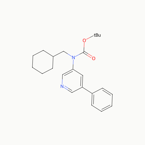 CC(C)(C)OC(=O)N(CC1CCCCC1)c1cncc(-c2ccccc2)c1